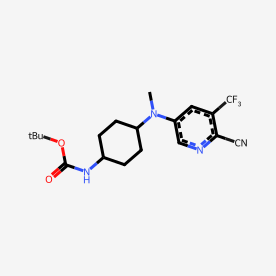 CN(c1cnc(C#N)c(C(F)(F)F)c1)C1CCC(NC(=O)OC(C)(C)C)CC1